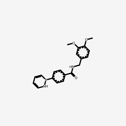 COc1ccc(CNC(=O)c2ccc(B3C=CC=CN3)cc2)cc1OC